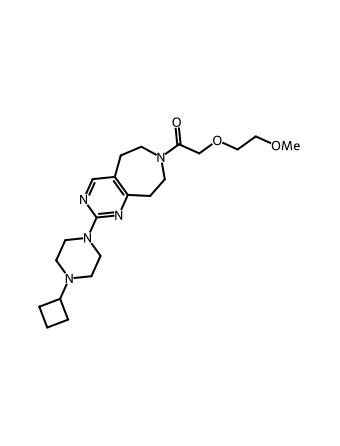 COCCOCC(=O)N1CCc2cnc(N3CCN(C4CCC4)CC3)nc2CC1